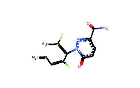 C=C/C=C(F)\C(=C(/C)F)n1nc(C(N)=O)ccc1=O